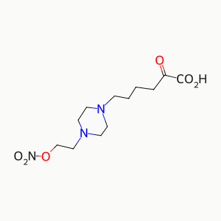 O=C(O)C(=O)CCCCN1CCN(CCO[N+](=O)[O-])CC1